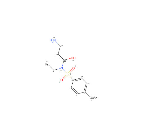 COc1ccc(S(=O)(=O)N(CC(C)C)C(O)CCN)cc1